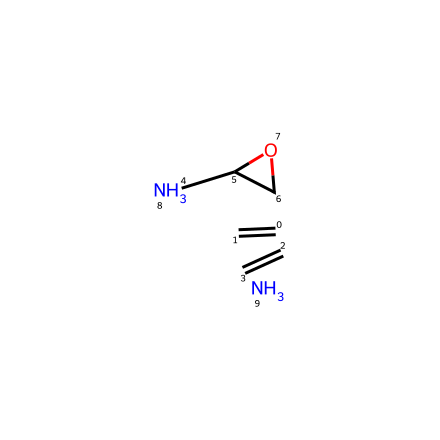 C=C.C=C.CC1CO1.N.N